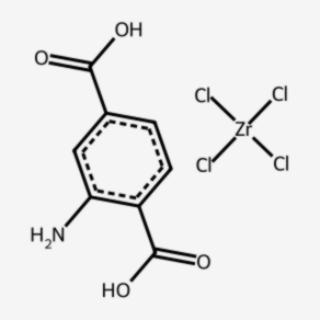 Nc1cc(C(=O)O)ccc1C(=O)O.[Cl][Zr]([Cl])([Cl])[Cl]